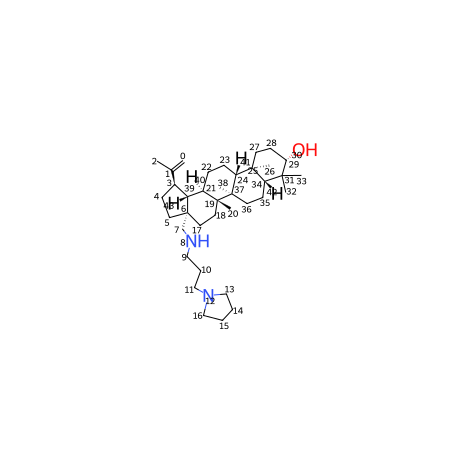 C=C(C)[C@@H]1CC[C@]2(CNCCCN3CCCC3)CC[C@]3(C)[C@H](CC[C@@H]4[C@@]5(C)CC[C@H](O)C(C)(C)[C@@H]5CC[C@]43C)[C@@H]12